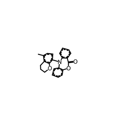 Cc1ccc(N2c3ccccc3OC(=O)c3ccccc32)c2c1CCCO2